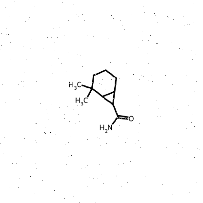 CC1(C)CCCC2C(C(N)=O)C21